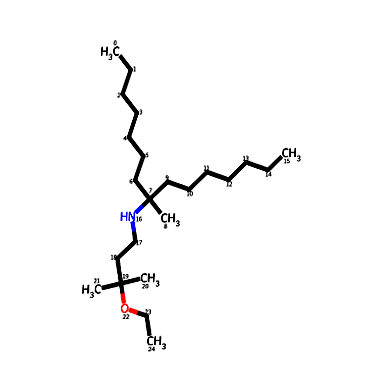 CCCCCCCC(C)(CCCCCCC)NCCC(C)(C)OCC